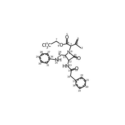 C=C(C)C(C(=O)OCC(Cl)(Cl)Cl)N1C(=O)C(NC(=O)Cc2ccccc2)C1SNc1ccccc1